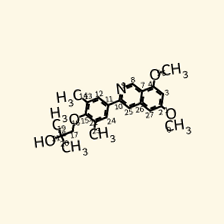 COc1cc(OC)c2cnc(-c3cc(C)c(OCC(C)(C)O)c(C)c3)cc2c1